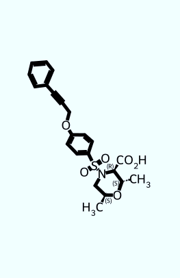 C[C@@H]1O[C@@H](C)CN(S(=O)(=O)c2ccc(OCC#Cc3ccccc3)cc2)[C@H]1C(=O)O